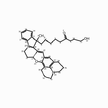 CC1(CCCCCC(=O)CCCO)c2ccccc2N2CCC3Oc4c(cc5c6c4CCCN6CCC5)C=C3C21